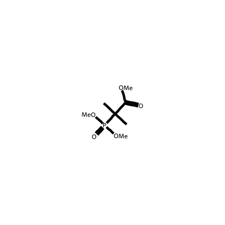 COC(=O)C(C)(C)P(=O)(OC)OC